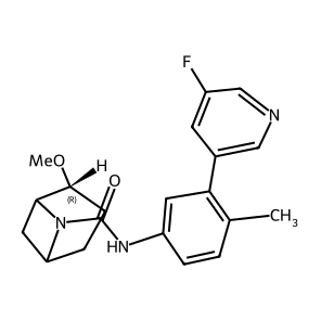 CO[C@@H]1CCC2CC1N2C(=O)Nc1ccc(C)c(-c2cncc(F)c2)c1